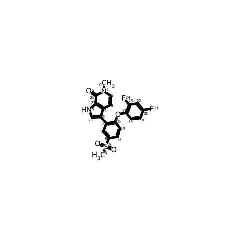 Cn1ccc2c(-c3cc(S(C)(=O)=O)ccc3Oc3ccc(F)cc3F)c[nH]c2c1=O